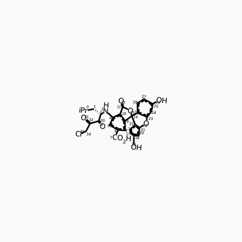 CC(C)C[C@H](Nc1cc(C(=O)O)cc2c1C(=O)OC21c2ccc(O)cc2Oc2cc(O)ccc21)C(=O)C(=O)CCl